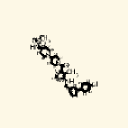 Cc1c(NCC2CCCC(c3ccc(Cl)cc3)C2)ncnc1C(=O)N1CCC(N2CCC(NS(C)(=O)=O)CC2)CC1